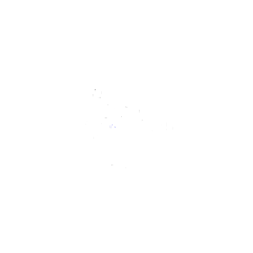 CCCOC(C)([N]C(C)(OCC)OCCC)OCC